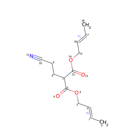 C/C=C/COC(=O)C(CCC#N)C(=O)OC/C=C/C